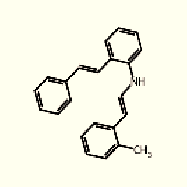 Cc1ccccc1C=CNc1ccccc1C=Cc1ccccc1